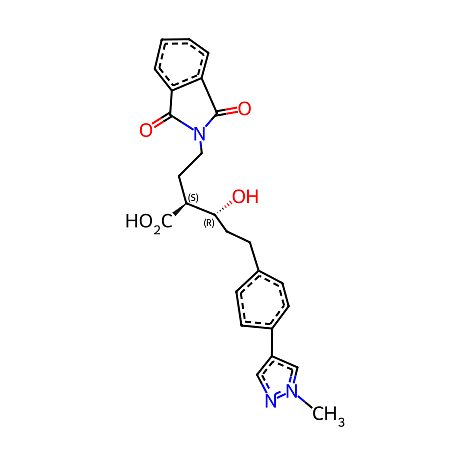 Cn1cc(-c2ccc(CC[C@@H](O)[C@H](CCN3C(=O)c4ccccc4C3=O)C(=O)O)cc2)cn1